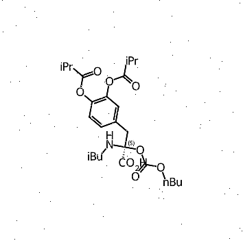 CCCCOC(=O)O[C@](Cc1ccc(OC(=O)C(C)C)c(OC(=O)C(C)C)c1)(NC(C)CC)C(=O)O